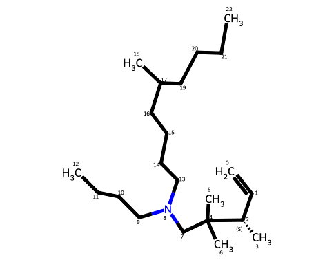 C=C[C@H](C)C(C)(C)CN(CCCC)CCCCC(C)CCCC